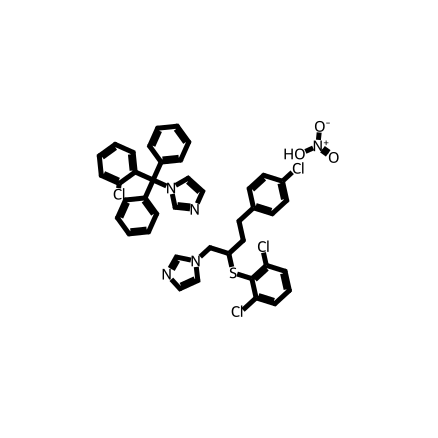 Clc1ccc(CCC(Cn2ccnc2)Sc2c(Cl)cccc2Cl)cc1.Clc1ccccc1C(c1ccccc1)(c1ccccc1)n1ccnc1.O=[N+]([O-])O